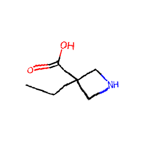 CCC1(C(=O)O)CNC1